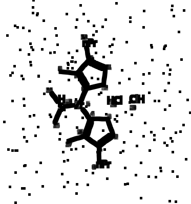 CCCC1=CC[C]([Zr]([C]2=C(C)C(CCC)=CC2)[SiH](C)C)=C1C.Cl.Cl